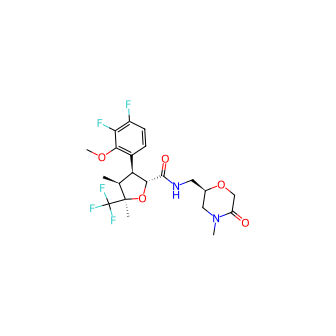 COc1c([C@H]2[C@H](C(=O)NC[C@@H]3CN(C)C(=O)CO3)O[C@@](C)(C(F)(F)F)[C@H]2C)ccc(F)c1F